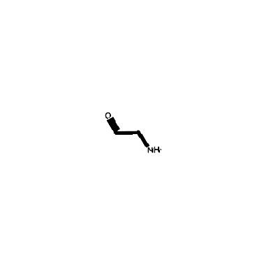 [NH]C[C]=O